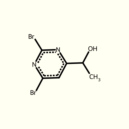 CC(O)c1cc(Br)nc(Br)n1